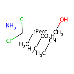 CC#N.CC(=O)O.CCCCCC.CO.ClCCl.N